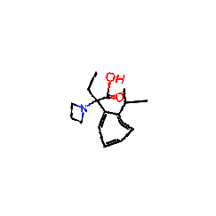 CCC(C(=O)O)(c1ccccc1C(C)C)N1CCC1